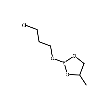 CC1COP(OCCCCl)O1